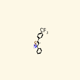 FC(F)(F)c1ccc(-c2[c]c(-c3ccccc3)ns2)cc1